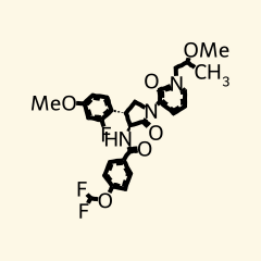 COc1ccc([C@@H]2CN(c3cccn(CC(C)OC)c3=O)C(=O)[C@H]2NC(=O)c2ccc(OC(F)F)cc2)c(F)c1